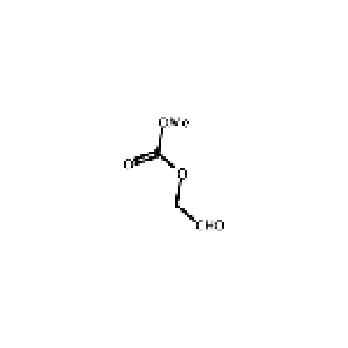 COC(=O)OCC=O